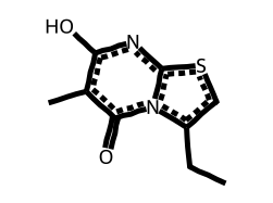 CCc1csc2nc(O)c(C)c(=O)n12